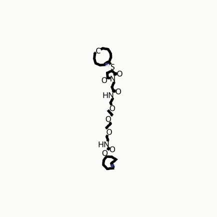 O=C(CCN1C(=O)CC(S/C2=C/CCCCCCCCC2)C1=O)NCCOCCOCCOCCNC(=O)OC1CC/C=C/CCC1